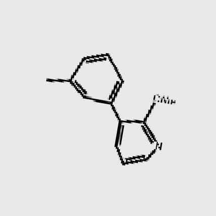 COc1ncccc1-c1cccc(C)c1